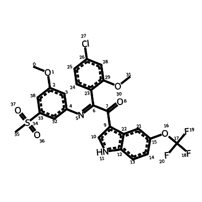 COc1cc(N=C(C(=O)c2c[nH]c3ccc(OC(F)(F)F)cc23)c2ccc(Cl)cc2OC)cc(S(C)(=O)=O)c1